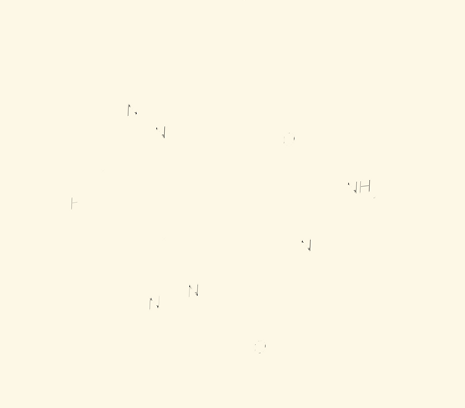 Nc1ncc2cc1OCc1cc(F)ccc1-n1ncc(F)c1Cc1cnn(C3COC3)c1-2